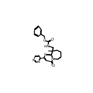 CC1(CNC(=O)OCc2ccccc2)CCCCn2c1nc(-c1ccncn1)cc2=O